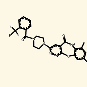 Cc1cc(F)cc2c1NC(=O)c1cc(N3CCN(C(=O)c4ccccc4C(F)(F)F)CC3)nnc1O2